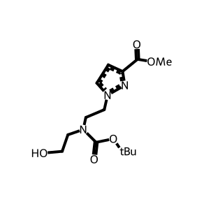 COC(=O)c1ccn(CCN(CCO)C(=O)OC(C)(C)C)n1